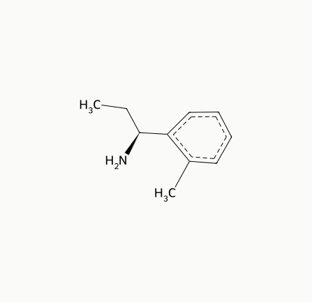 CC[C@H](N)c1ccccc1C